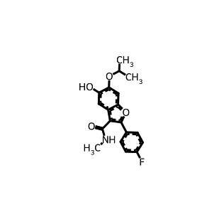 CNC(=O)c1c(-c2ccc(F)cc2)oc2cc(OC(C)C)c(O)cc12